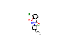 O=C(Nc1ccc([N+](=O)[O-])cc1Cl)c1cccc(Br)c1O